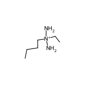 CCCC[N+](N)(N)CC